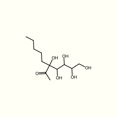 CCCCCC(O)(C(C)=O)C(O)C(O)C(O)CO